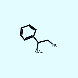 [C-]#[N+]CC(OC(C)=O)c1ccccc1